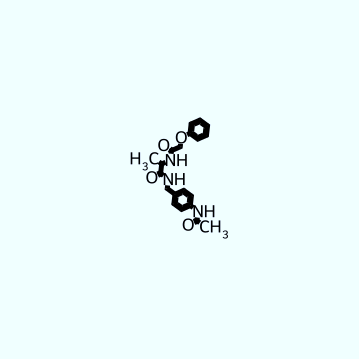 CC(=O)Nc1ccc(CNC(=O)C(C)NC(=O)COc2ccccc2)cc1